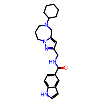 O=C(NCc1cc2n(n1)CCCN(C1CCCCC1)C2)c1ccc2[nH]ccc2c1